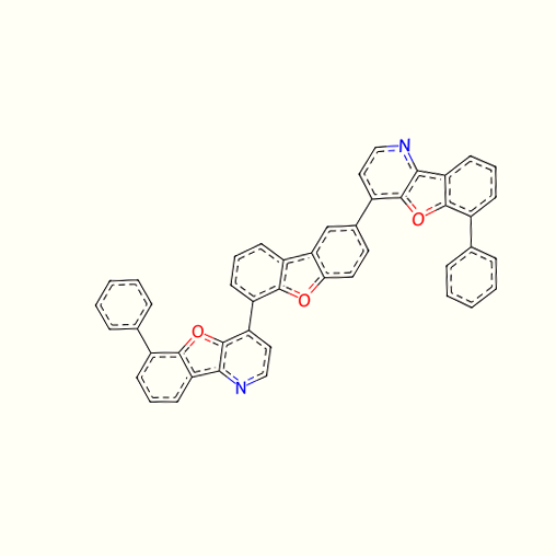 c1ccc(-c2cccc3c2oc2c(-c4ccc5oc6c(-c7ccnc8c7oc7c(-c9ccccc9)cccc78)cccc6c5c4)ccnc23)cc1